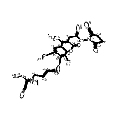 Cc1c(CC(=O)ON2C(=O)CCC2=O)c(=O)oc2c(F)c(OCCCNC(=O)OC(C)(C)C)c(F)cc12